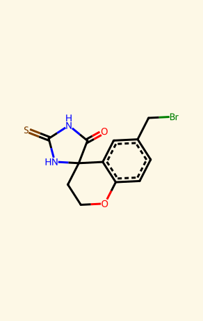 O=C1NC(=S)NC12CCOc1ccc(CBr)cc12